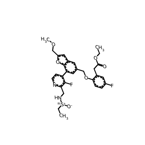 CCOC(=O)Cc1cc(F)ccc1OCc1cc(-c2ccnc(CN[S@@+]([O-])CC)c2F)c2oc(COC)cc2c1